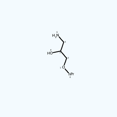 [CH2]CCOCC(O)CN